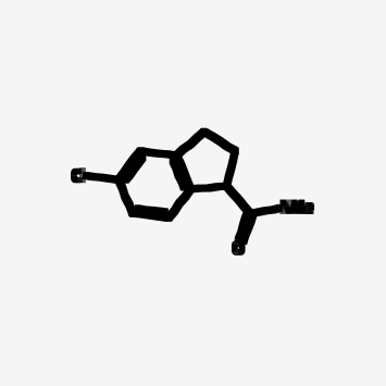 CNC(=O)C1CCc2cc(Cl)ccc21